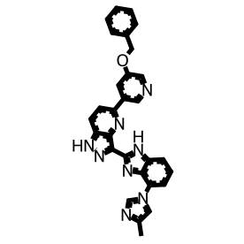 Cc1cn(-c2cccc3[nH]c(-c4n[nH]c5ccc(-c6cncc(OCc7ccccc7)c6)nc45)nc23)cn1